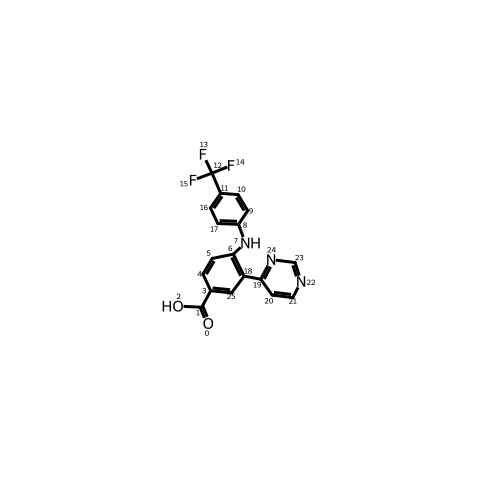 O=C(O)c1ccc(Nc2ccc(C(F)(F)F)cc2)c(-c2ccncn2)c1